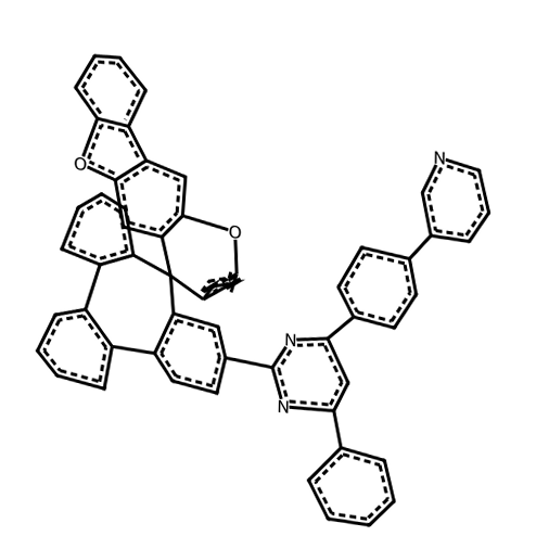 c1ccc(-c2cc(-c3ccc(-c4cccnc4)cc3)nc(-c3ccc4c(c3)C3(c5ccccc5Oc5cc6c(cc53)oc3ccccc36)c3ccccc3-c3ccccc3-4)n2)cc1